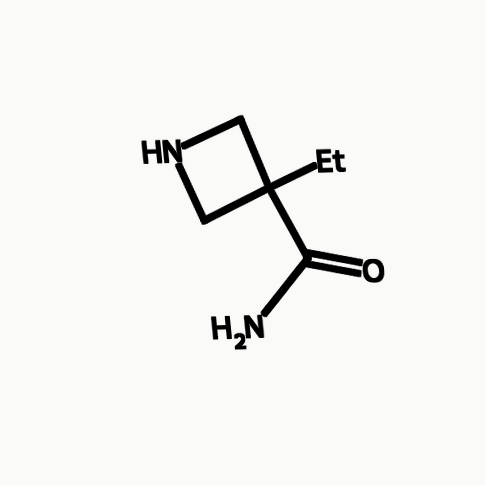 CCC1(C(N)=O)CNC1